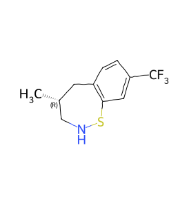 C[C@H]1CNSc2cc(C(F)(F)F)ccc2C1